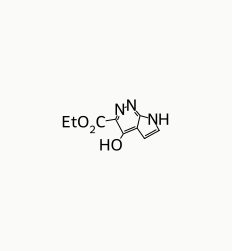 CCOC(=O)c1nnc2[nH]ccc2c1O